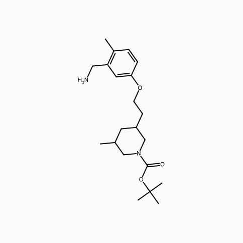 Cc1ccc(OCCC2CC(C)CN(C(=O)OC(C)(C)C)C2)cc1CN